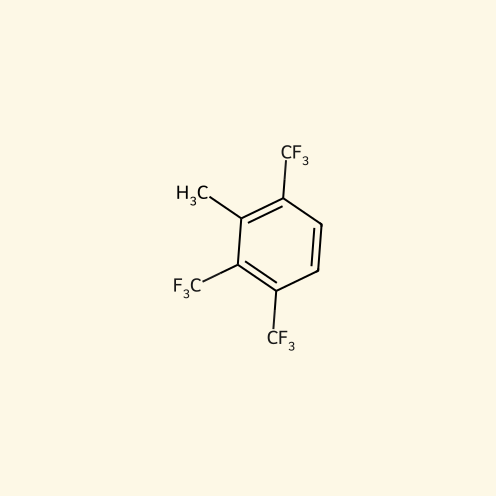 Cc1c(C(F)(F)F)ccc(C(F)(F)F)c1C(F)(F)F